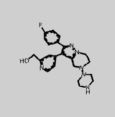 OCc1cc(-c2c(-c3ccc(F)cc3)nn3c2CN(N2CCNCC2)CC3)ccn1